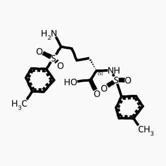 Cc1ccc(S(=O)(=O)N[C@@H](CCCC(N)S(=O)(=O)c2ccc(C)cc2)C(=O)O)cc1